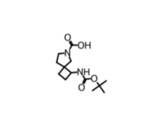 CC(C)(C)OC(=O)NC1CCC12CCN(C(=O)O)C2